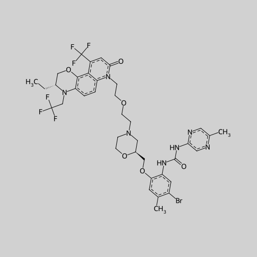 CC[C@@H]1COc2c(ccc3c2c(C(F)(F)F)cc(=O)n3CCOCCN2CCO[C@H](COc3cc(C)c(Br)cc3NC(=O)Nc3cnc(C)cn3)C2)N1CC(F)(F)F